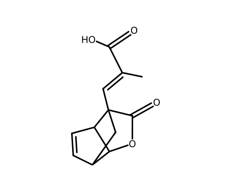 CC(=CC12CC3C=CC1C3OC2=O)C(=O)O